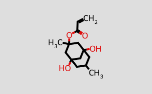 C=CC(=O)OC1(C)CC2(O)CC(C)CC(O)(C2)C1